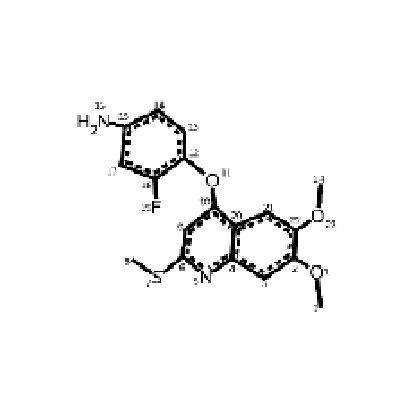 COc1cc2nc(SC)cc(Oc3ccc(N)cc3F)c2cc1OC